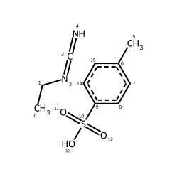 CCN=C=N.Cc1ccc(S(=O)(=O)O)cc1